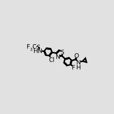 O=C(NC1CC1)c1cc(-c2nc(-c3ccc(NSC(F)(F)F)cc3Cl)cs2)ccc1F